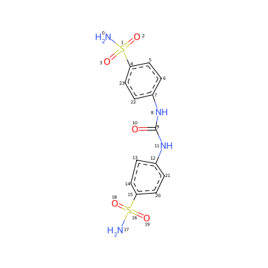 NS(=O)(=O)c1ccc(NC(=O)Nc2ccc(S(N)(=O)=O)cc2)cc1